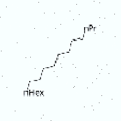 CCCC=CCCCCCCCCCCCC